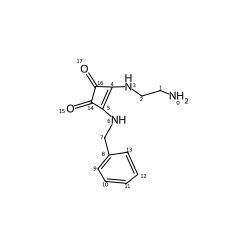 NCCNc1c(NCc2ccccc2)c(=O)c1=O